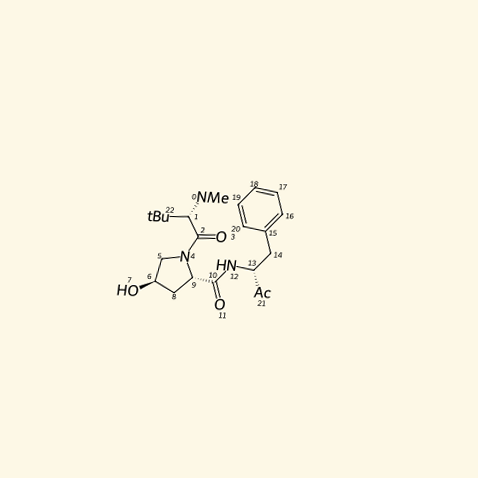 CN[C@H](C(=O)N1C[C@H](O)C[C@H]1C(=O)N[C@H](Cc1ccccc1)C(C)=O)C(C)(C)C